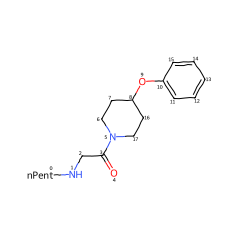 CCCCCNCC(=O)N1CCC(Oc2ccccc2)CC1